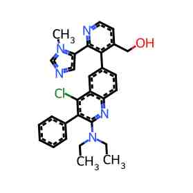 CCN(CC)c1nc2ccc(-c3c(CO)ccnc3-c3cncn3C)cc2c(Cl)c1-c1ccccc1